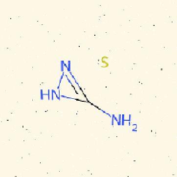 NC1=NN1.[S]